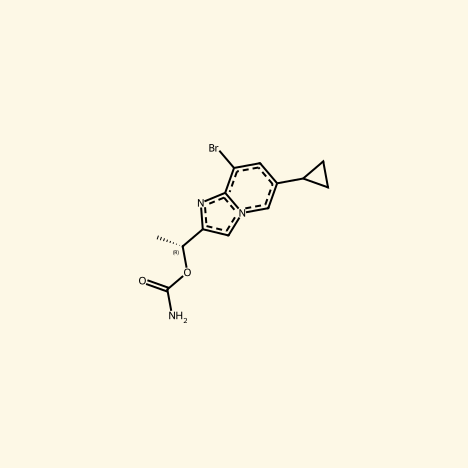 C[C@@H](OC(N)=O)c1cn2cc(C3CC3)cc(Br)c2n1